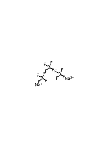 F[B-](F)(F)F.F[B-](F)(F)F.F[B-](F)(F)F.[Ba+2].[Na+]